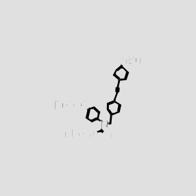 CCCCCC(=O)N(Cc1ccc(C#Cc2ccc(CCCC)cc2)cc1)c1ccc(C(=O)OCC)cc1